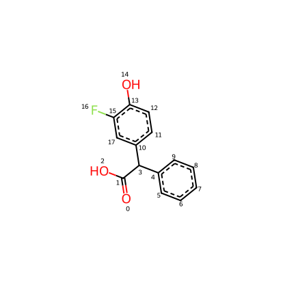 O=C(O)C(c1ccccc1)c1ccc(O)c(F)c1